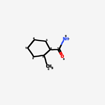 CC1CCCCC1C([NH])=O